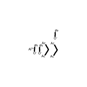 CC(=O)CC(C)=O.CC(=O)CC(C)=O.CC(C)[O-].CC(C)[O-].CC(C)[O-].[Al+3]